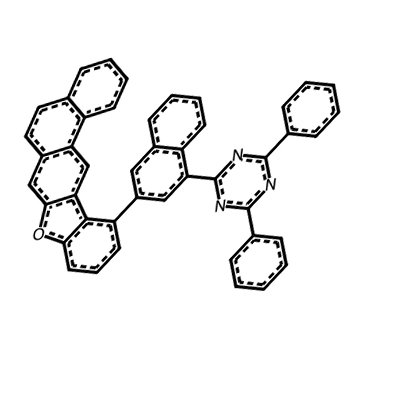 c1ccc(-c2nc(-c3ccccc3)nc(-c3cc(-c4cccc5oc6cc7ccc8ccccc8c7cc6c45)cc4ccccc34)n2)cc1